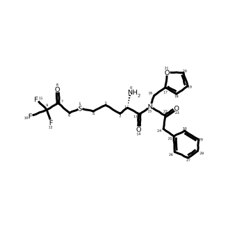 N[C@@H](CCCSCC(=O)C(F)(F)F)C(=O)N(Cc1ccco1)C(=O)Cc1ccccc1